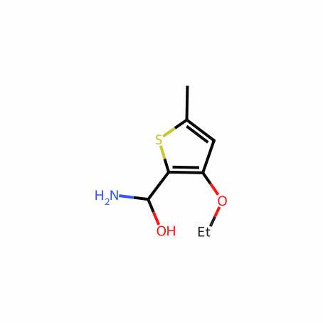 CCOc1cc(C)sc1C(N)O